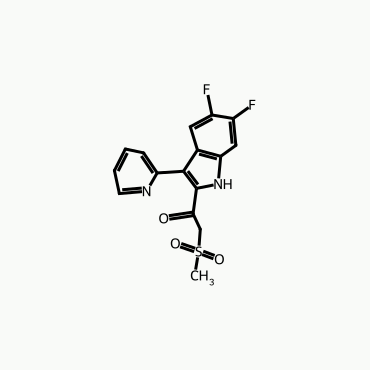 CS(=O)(=O)CC(=O)c1[nH]c2cc(F)c(F)cc2c1-c1ccccn1